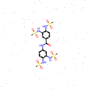 CS(=O)(=O)Nc1ccc(NC(=O)c2ccc(NS(C)(=O)=O)c(NS(C)(=O)=O)c2)cc1NS(C)(=O)=O